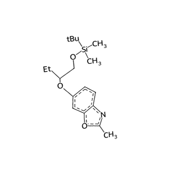 CCC(CO[Si](C)(C)C(C)(C)C)Oc1ccc2nc(C)oc2c1